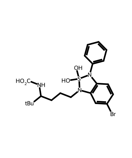 CC(C)(C)C(CCCN1c2cc(Br)ccc2N(c2ccccc2)S1(O)O)NC(=O)O